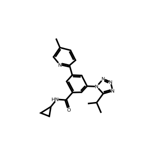 Cc1ccc(-c2cc(C(=O)NC3CC3)cc(-n3nnnc3C(C)C)c2)nc1